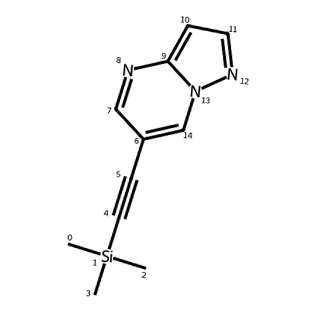 C[Si](C)(C)C#Cc1cnc2ccnn2c1